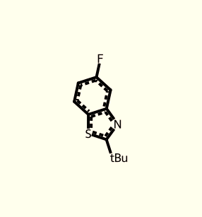 CC(C)(C)c1nc2cc(F)ccc2s1